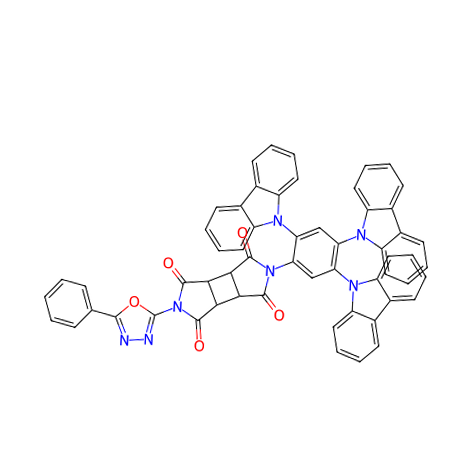 O=C1C2C(C(=O)N1c1nnc(-c3ccccc3)o1)C1C(=O)N(c3cc(-n4c5ccccc5c5ccccc54)c(-n4c5ccccc5c5ccccc54)cc3-n3c4ccccc4c4ccccc43)C(=O)C21